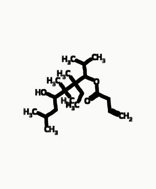 C=CCC(=O)OC(C(C)C)C(C)(CC)C(C)(C)C(O)CC(C)C